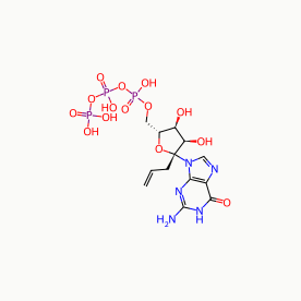 C=CC[C@@]1(n2cnc3c(=O)[nH]c(N)nc32)O[C@H](COP(=O)(O)OP(=O)(O)OP(=O)(O)O)[C@@H](O)[C@H]1O